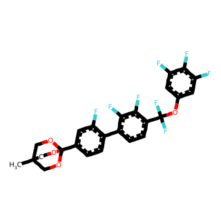 CC12COC(c3ccc(-c4ccc(C(F)(F)Oc5cc(F)c(F)c(F)c5)c(F)c4F)c(F)c3)(OC1)OC2